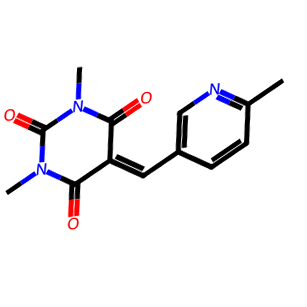 Cc1ccc(C=C2C(=O)N(C)C(=O)N(C)C2=O)cn1